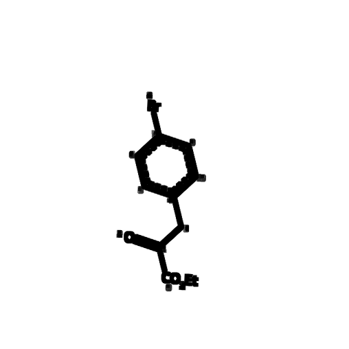 CCOC(=O)C(=O)Cc1ccc(Br)cc1